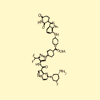 Cl.Cn1nc(C2CCC(=O)NC2=O)c2cccc(NC3CCN(C(=O)C4CCC(n5cc(NC(=O)c6cnn7ccc(N8C[C@H](N)C[C@@H](F)C8)nc67)c(C(F)F)n5)CC4)CC3)c21